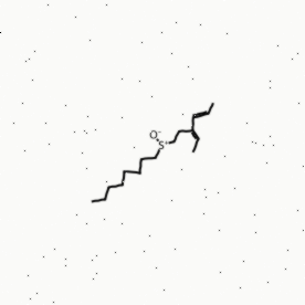 CC=CC(=CC)CC[S+]([O-])CCCCCCCC